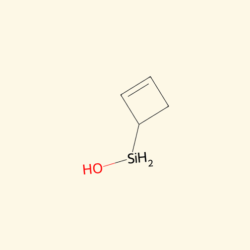 O[SiH2]C1C=CC1